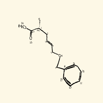 C[C@H](CC=CCOCc1ccccc1)C(=O)O